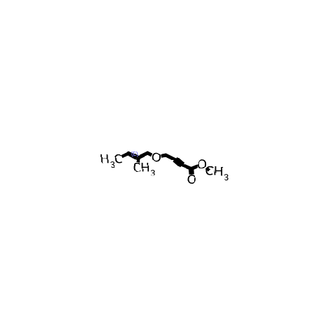 C/C=C(\C)COCC#CC(=O)OC